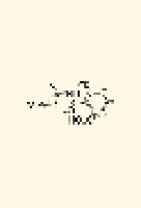 CSCC(C)NC(=O)c1c(Cl)cccc1C(=O)O